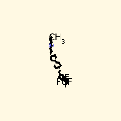 CCC/C=C/CCC[C@H]1CC[C@H]([C@H]2CC[C@H](CCc3cc(F)c(OC(F)(F)F)c(F)c3)CC2)CC1